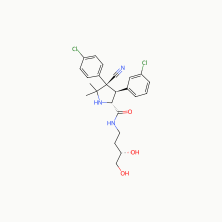 CC1(C)N[C@@H](C(=O)NCC[C@H](O)CO)[C@H](c2cccc(Cl)c2)[C@@]1(C#N)c1ccc(Cl)cc1